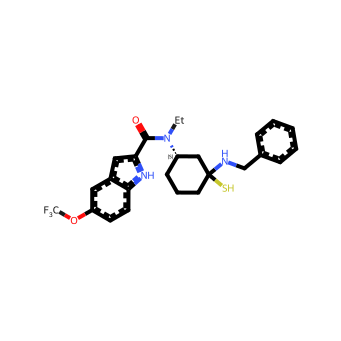 CCN(C(=O)c1cc2cc(OC(F)(F)F)ccc2[nH]1)[C@H]1CCCC(S)(NCc2ccccc2)C1